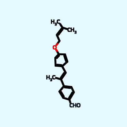 CC(C)=CCOc1ccc(/C=C(\C)c2ccc(C=O)cc2)cc1